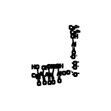 [Ca+2].[Ca+2].[Ca+2].[O-].[O-].[O-].[O-].[O-].[O-].[O]=[Al][OH].[O]=[Al][OH].[O]=[Al][OH].[O]=[Al][OH].[O]=[Al][OH].[O]=[Al][OH]